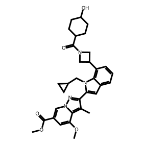 COC(=O)c1cc(OC)c2c(C)c(-c3cc4cccc(C5CN(C(=O)C6CCC(O)CC6)C5)c4n3CC3CC3)nn2c1